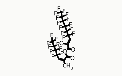 CC(=CC(F)(F)C(F)(F)C(F)(F)C(F)(F)F)C(=O)OC(=O)C(C)=CC(F)(F)C(F)(F)C(F)(F)C(F)(F)C(F)(F)C(F)(F)F